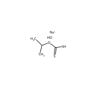 CC(C)OC(=S)S.[Na+].[OH-]